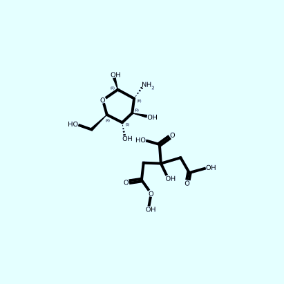 N[C@@H]1[C@@H](O)[C@H](O)[C@@H](CO)O[C@H]1O.O=C(O)CC(O)(CC(=O)OO)C(=O)O